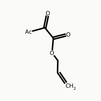 C=CCOC(=O)C(=O)C(C)=O